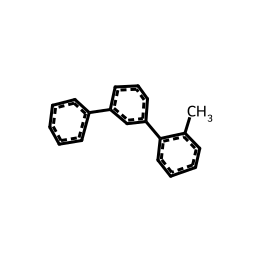 Cc1ccccc1-c1cccc(-c2ccccc2)c1